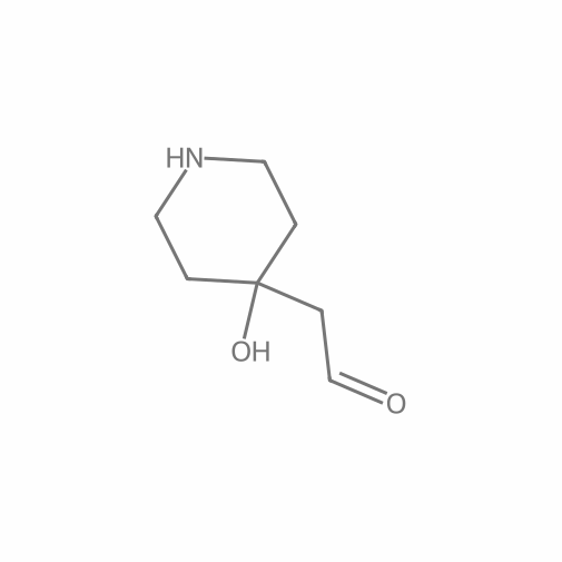 O=CCC1(O)CCNCC1